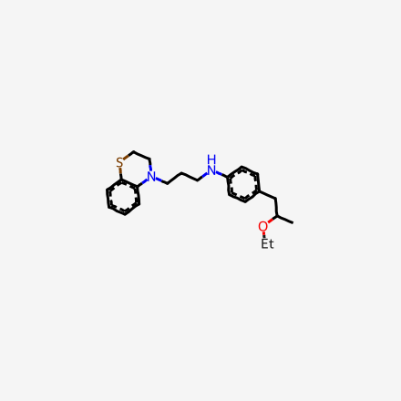 CCOC(C)Cc1ccc(NCCCN2CCSc3ccccc32)cc1